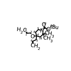 C=CCOC1(CC=C)CCN(C(=O)OC(C)(C)C)C(C)(C)C1